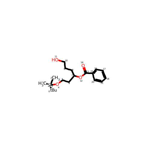 CC(C)(C)[Si](C)(C)OCCC(CCCO)OC(=O)c1ccccc1